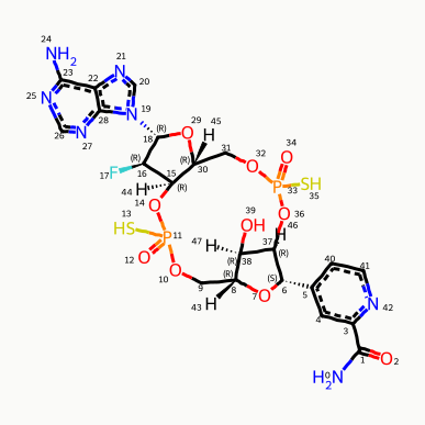 NC(=O)c1cc([C@@H]2O[C@@H]3COP(=O)(S)O[C@H]4[C@@H](F)[C@H](n5cnc6c(N)ncnc65)O[C@@H]4COP(=O)(S)O[C@@H]2[C@@H]3O)ccn1